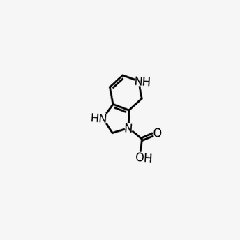 O=C(O)N1CNC2=C1CNC=C2